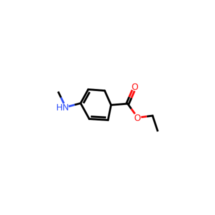 CCOC(=O)C1C=CC(NC)=CC1